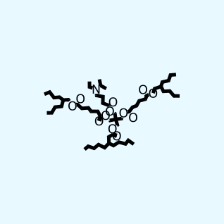 CCCCCC(CCCCC)CC(=O)OCC(COC(=O)CCCCC(=O)OCC(CCCC)CCCC)(COC(=O)CCCCC(=O)OCC(CCCC)CCCC)COC(=O)CCCN(CC)C(C)C